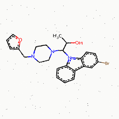 CC(O)C(N1CCN(Cc2ccco2)CC1)n1c2ccccc2c2cc(Br)ccc21